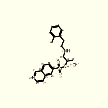 Cc1ccccc1CCNCC(C)NS(=O)(=O)c1ccc2cnccc2c1.Cl